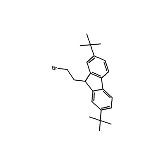 CC(C)(C)c1ccc2c(c1)C(CCBr)c1cc(C(C)(C)C)ccc1-2